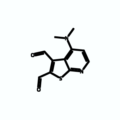 CN(C)c1ccnc2sc(C=O)c(C=O)c12